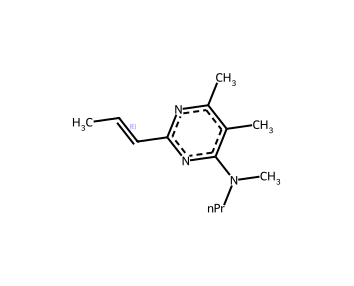 C/C=C/c1nc(C)c(C)c(N(C)CCC)n1